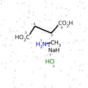 CN.Cl.O=C(O)CCC(=O)O.[NaH]